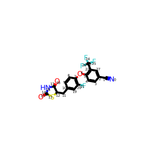 N#Cc1ccc(Oc2ccc(CC3SC(=O)NC3=O)cc2F)c(C(F)(F)F)c1